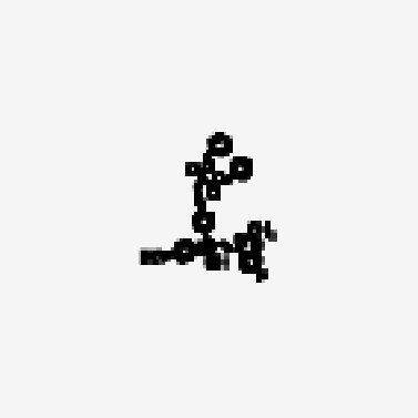 C#Cc1ccc(N2C(O)[C@H](CC[C@H](OC(C)=O)c3ccc(F)cc3)[C@H]2c2ccc(C#CCC(C(=O)OCc3ccccc3)C(=O)OCc3ccccc3)cc2)cc1